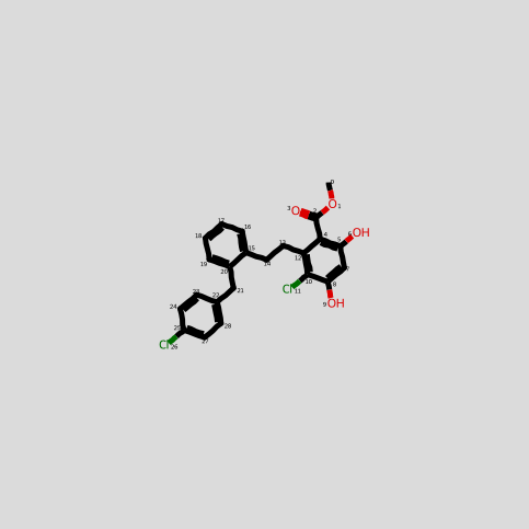 COC(=O)c1c(O)cc(O)c(Cl)c1CCc1ccccc1Cc1ccc(Cl)cc1